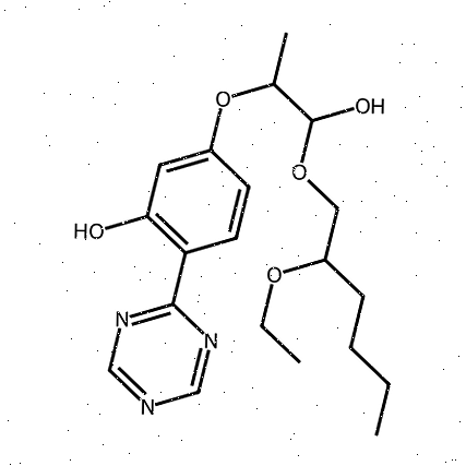 CCCCC(COC(O)C(C)Oc1ccc(-c2ncncn2)c(O)c1)OCC